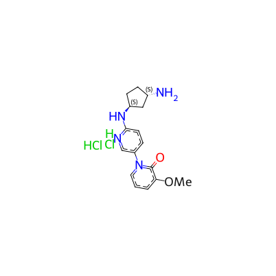 COc1cccn(-c2ccc(N[C@H]3CC[C@H](N)C3)nc2)c1=O.Cl.Cl